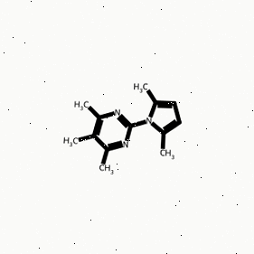 Cc1nc(-n2c(C)ccc2C)nc(C)c1C